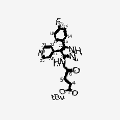 CC(C)(C)OC(=O)CCC(=O)Nc1n[nH]c(-c2ccc(F)cc2)c1-c1ccncc1